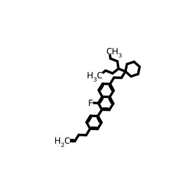 C=CCCc1ccc(-c2ccc3cc(CCC4(C(CCC)CCC)CCCCC4)ccc3c2F)cc1